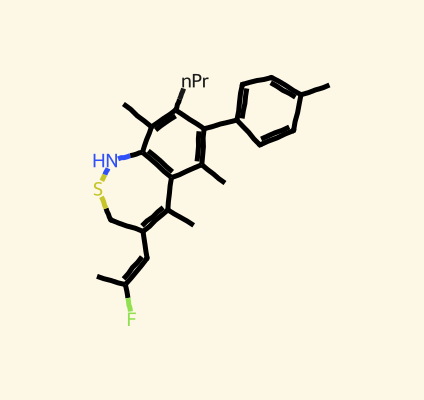 CCCc1c(C)c2c(c(C)c1-c1ccc(C)cc1)C(C)=C(/C=C(\C)F)CSN2